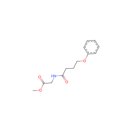 COC(=O)CNC(=O)CCCOc1ccccc1